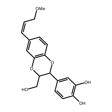 COC/C=C\c1ccc2c(c1)OC(CO)C(c1ccc(O)c(O)c1)O2